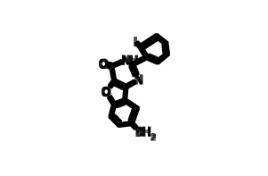 Bc1ccc2oc3c(=O)[nH]c(-c4ccccc4I)nc3c2c1